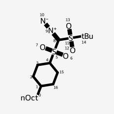 CCCCCCCCC1CCC(S(=O)(=O)C(=[N+]=[N-])S(=O)(=O)C(C)(C)C)CC1